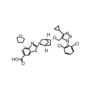 O=C(O)c1cc([C@@H]2CCOC2)c2nc(N3C[C@@H]4C[C@H]3C[C@H]4OCc3c(C4CC4)nnn3-c3c(Cl)cccc3Cl)sc2c1